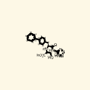 O=C(O)C(CO)N[C@@H](Cc1ccc(-c2ccccc2)cc1)C(=O)Nc1nnn[nH]1